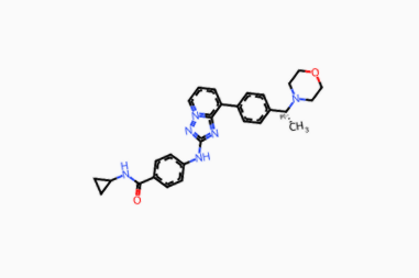 C[C@H](c1ccc(-c2cccn3nc(Nc4ccc(C(=O)NC5CC5)cc4)nc23)cc1)N1CCOCC1